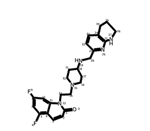 O=c1ccc2c(F)cc(F)cc2n1CCN1CCC(NCc2ccc3c(n2)NCCC3)CC1